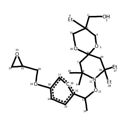 CCC1(CO)COC2(CC(C)(C)N(OC(C)c3ccc(OCC4CO4)cc3)C(CC)(CC)C2)OC1